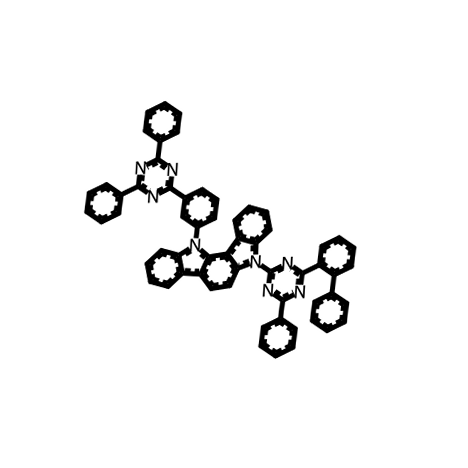 c1ccc(-c2nc(-c3ccccc3)nc(-c3cccc(-n4c5ccccc5c5ccc6c(c7ccccc7n6-c6nc(-c7ccccc7)nc(-c7ccccc7-c7ccccc7)n6)c54)c3)n2)cc1